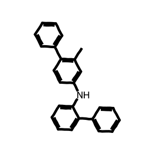 Cc1cc(Nc2ccccc2-c2ccccc2)ccc1-c1ccccc1